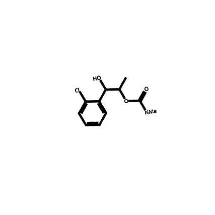 CNC(=O)OC(C)C(O)c1ccccc1Cl